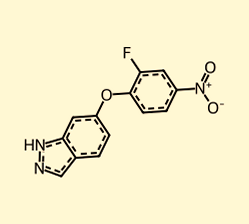 O=[N+]([O-])c1ccc(Oc2ccc3cn[nH]c3c2)c(F)c1